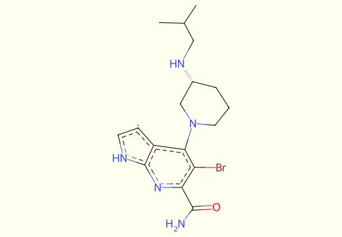 CC(C)CN[C@@H]1CCCN(c2c(Br)c(C(N)=O)nc3[nH]c[c]c23)C1